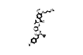 COCCCOc1cc(C(=O)N(C[C@@H]2CNC[C@H]2CN(C(=O)Cc2ccc(OC)cc2)C2CC2)C(C)C)ccc1OC